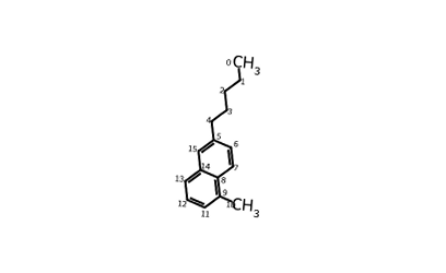 CCCCCc1ccc2c(C)cccc2c1